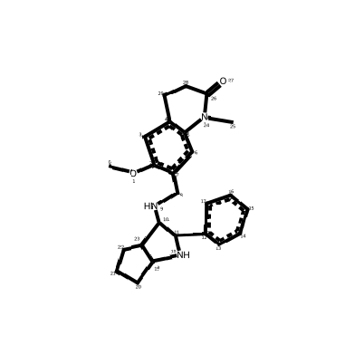 COc1cc2c(cc1CNC1C(c3ccccc3)NC3CCCC31)N(C)C(=O)CC2